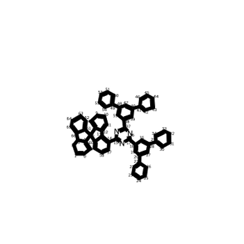 C1=CCC2C(=C1)C1(c3ccccc3-c3c(-c4nc(-c5cc(-c6ccccc6)cc(-c6ccccc6)c5)nc(-c5cc(-c6ccccc6)cc(-c6ccccc6)c5)n4)cccc31)c1ccccc12